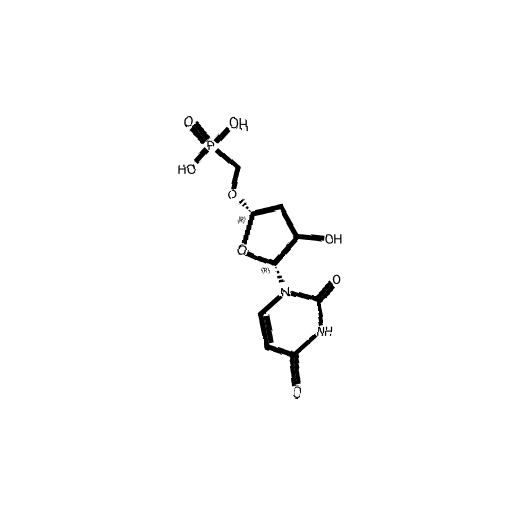 O=c1ccn([C@@H]2O[C@H](OCP(=O)(O)O)CC2O)c(=O)[nH]1